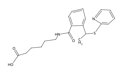 CC(Sc1ccccn1)c1ccccc1C(=O)NCCCCCC(=O)O